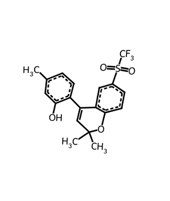 Cc1ccc(C2=CC(C)(C)Oc3ccc(S(=O)(=O)C(F)(F)F)cc32)c(O)c1